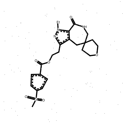 CCn1nc(CCOC(=O)c2ccc(S(C)(=O)=O)cc2)c2c1C(=O)NCC1(CCOCC1)C2